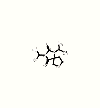 CC(C)N1C(=O)C2(CCOC2)N(C(C)C)C1=S